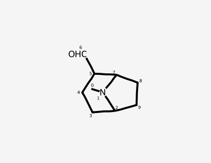 CN1C2CCC(C=O)C1CC2